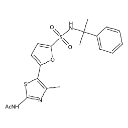 CC(=O)Nc1nc(C)c(-c2ccc(S(=O)(=O)NC(C)(C)c3ccccc3)o2)s1